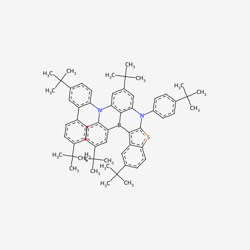 CC(C)(C)c1ccc(-c2cc(C(C)(C)C)ccc2N2c3ccc(C(C)(C)C)cc3B3c4c2cc(C(C)(C)C)cc4N(c2ccc(C(C)(C)C)cc2)c2sc4ccc(C(C)(C)C)cc4c23)cc1